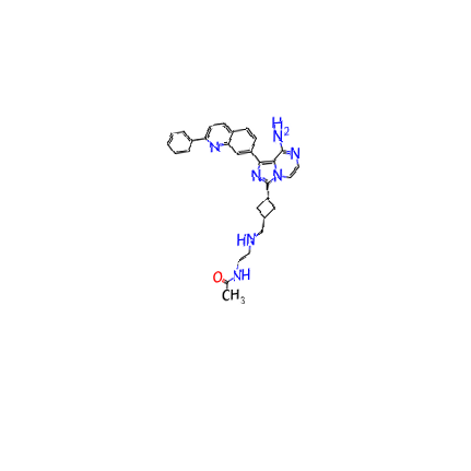 CC(=O)NCCNC[C@H]1C[C@@H](c2nc(-c3ccc4ccc(-c5ccccc5)nc4c3)c3c(N)nccn32)C1